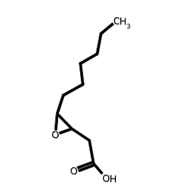 CCCCCCC1OC1CC(=O)O